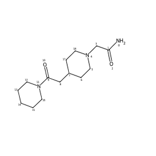 NC(=O)CN1CCC(CC(=O)N2CCCCC2)CC1